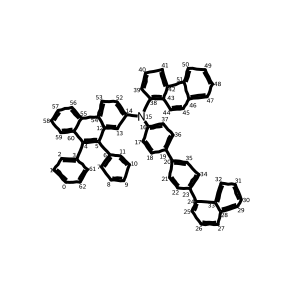 c1ccc(-c2c(-c3ccccc3)c3cc(N(c4ccc(-c5ccc(-c6cccc7ccccc67)cc5)cc4)c4cccc5c4ccc4ccccc45)ccc3c3ccccc23)cc1